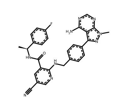 C[C@H](NC(=O)c1cc(C#N)cnc1NCc1ccc(-c2nn(C)c3ncnc(N)c23)cc1)c1ccc(F)cc1